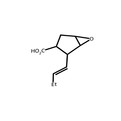 CCC=CC1C(C(=O)O)CC2OC21